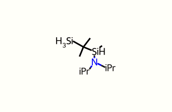 CC(C)N(C(C)C)[SiH](C)C(C)(C)[SiH3]